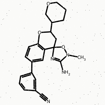 CN1OC2(CC(C3CCCOC3)Oc3ccc(-c4cccc(C#N)c4)cc32)N=C1N